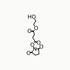 O=C(CCC(=O)ON1C(=O)CCC1=O)OCCO